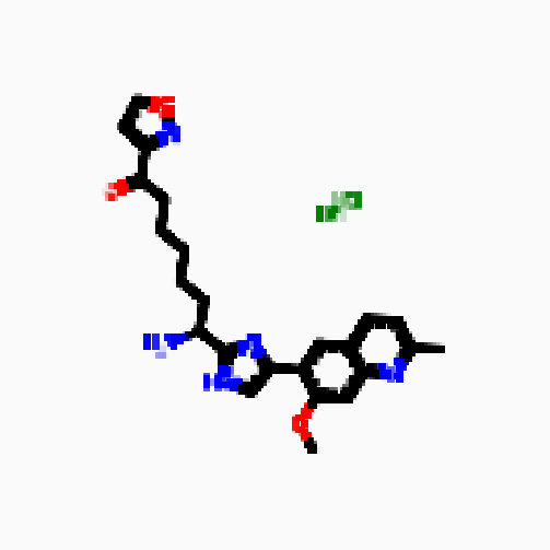 COc1cc2nc(C)ccc2cc1-c1c[nH]c([C@@H](N)CCCCCC(=O)c2ccon2)n1.Cl.Cl